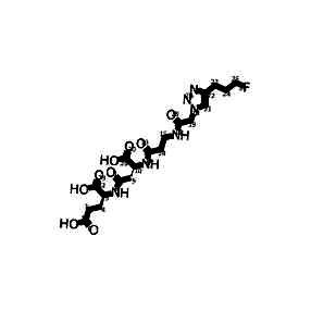 O=C(O)CC[C@H](NC(=O)C[C@@H](NC(=O)CCNC(=O)Cn1cc(CCCF)nn1)C(=O)O)C(=O)O